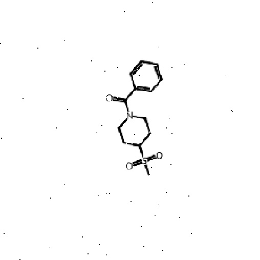 CS(=O)(=O)C1CCN(C(=O)c2ccccc2)CC1